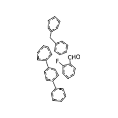 O=Cc1ccccc1F.c1ccc(-c2ccc(-c3ccccc3)cc2)cc1.c1ccc(Cc2ccccc2)cc1